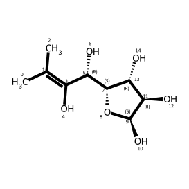 CC(C)=C(O)[C@H](O)[C@H]1O[C@H](O)[C@H](O)[C@H]1O